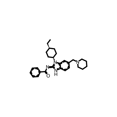 CC[C@H]1CC[C@@H](n2/c(=N/C(=O)c3ccccc3)[nH]c3ccc(CN4CCCCC4)cc32)CC1